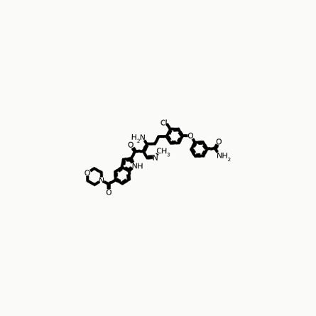 C/N=C\C(C(=O)c1cc2cc(C(=O)N3CCOCC3)ccc2[nH]1)=C(\N)CCc1ccc(Oc2cccc(C(N)=O)c2)cc1Cl